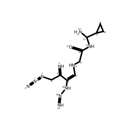 [N-]=[N+]=NCC(=N)/C(=C\NCC(=O)NC(N)C1CC1)NN=N